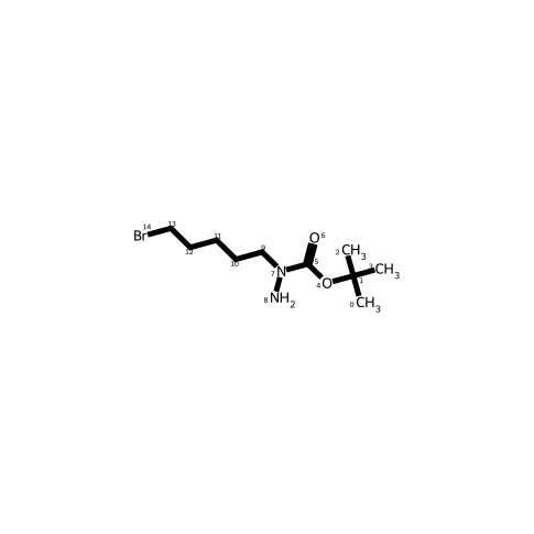 CC(C)(C)OC(=O)N(N)CCCCCBr